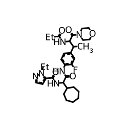 CCC(=O)NC(C(=O)N1CCOCC1)C(C)c1ccc(NC(=O)C(NC(=O)c2ccnn2CC)C2CCCCCC2)c(F)c1